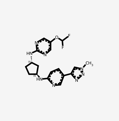 Cn1cc(-c2ccc(N[C@H]3CC[C@H](Nc4ncc(OC(F)F)cn4)C3)nc2)nn1